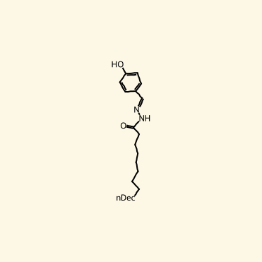 CCCCCCCCCCCCCCCCCC(=O)NN=Cc1ccc(O)cc1